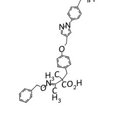 C/C(=N\OCc1ccccc1)C(C)(Cc1ccc(OCc2cnn(-c3ccc(CC(C)C)cc3)c2)cc1)C(=O)O